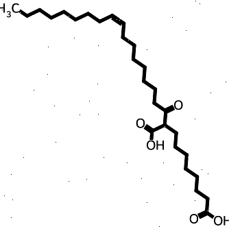 CCCCCCCC/C=C\CCCCCCCC(=O)C(CCCCCCCC(=O)O)C(=O)O